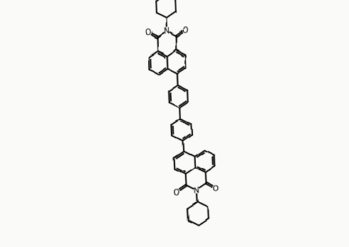 O=C1c2cccc3c(-c4ccc(-c5ccc(-c6ccc7c8c(cccc68)C(=O)N(C6CCCCC6)C7=O)cc5)cc4)ccc(c23)C(=O)N1C1CCCCC1